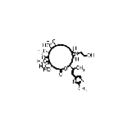 C/C(=C\c1csc(C)n1)[C@@H]1C[C@H]2[C@@H](CCC[C@H](C)[C@H](O)[C@@H](C)C(=O)C(C)(C)[C@@H](O)CC(=O)O1)N2CCO